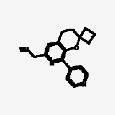 CC(C)(C)Cc1cc2c(c(-c3ccncc3)n1)OC1(CCC1)CC2